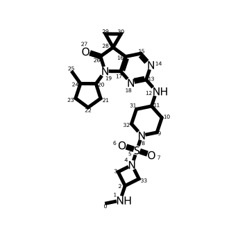 CNC1CN(S(=O)(=O)N2CCC(Nc3ncc4c(n3)N(C3CCCC3C)C(=O)C43CC3)CC2)C1